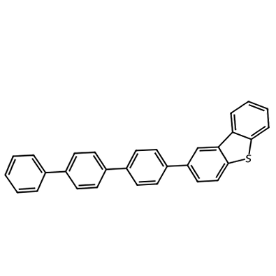 c1ccc(-c2ccc(-c3ccc(-c4ccc5sc6ccccc6c5c4)cc3)cc2)cc1